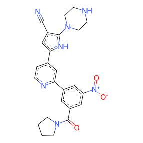 N#Cc1cc(-c2ccnc(-c3cc(C(=O)N4CCCC4)cc([N+](=O)[O-])c3)c2)[nH]c1N1CCNCC1